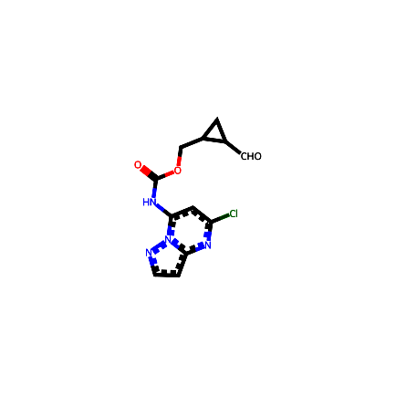 O=CC1CC1COC(=O)Nc1cc(Cl)nc2ccnn12